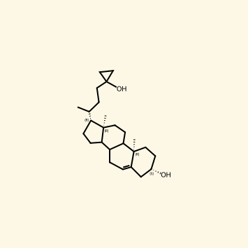 CC(CCC1(O)CC1)[C@H]1CCC2C3CC=C4C[C@@H](O)CC[C@]4(C)C3CC[C@@]21C